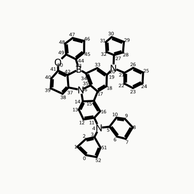 c1ccc(N(c2ccccc2)c2ccc3c(c2)c2cc(N(c4ccccc4)c4ccccc4)cc4c2n3-c2cccc3c2B4c2ccccc2O3)cc1